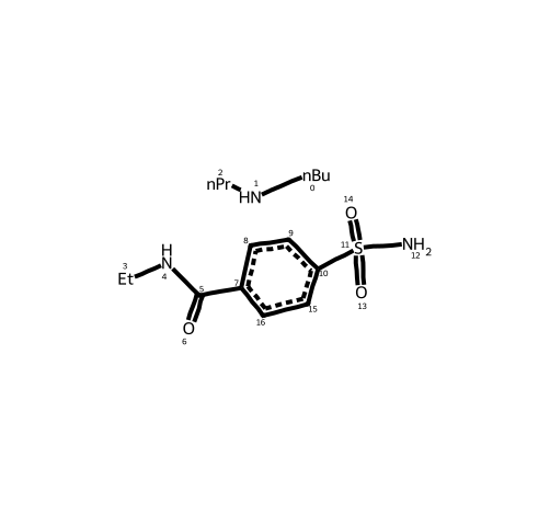 CCCCNCCC.CCNC(=O)c1ccc(S(N)(=O)=O)cc1